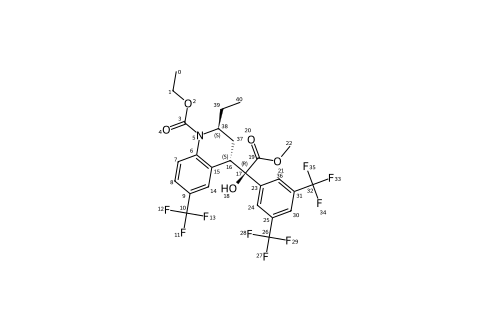 CCOC(=O)N1c2ccc(C(F)(F)F)cc2[C@@H]([C@](O)(C(=O)OC)c2cc(C(F)(F)F)cc(C(F)(F)F)c2)C[C@@H]1CC